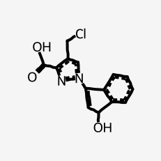 O=C(O)c1nn(C2=CC(O)c3ccccc32)cc1CCl